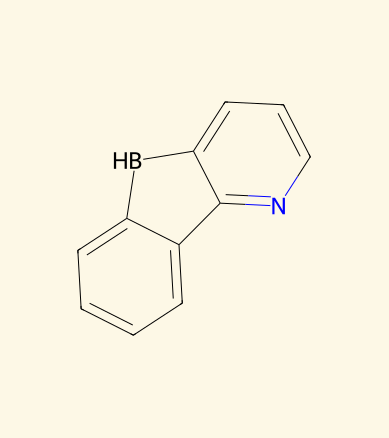 B1c2ccccc2-c2ncccc21